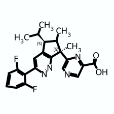 CC(C)[C@@H]1c2cc(-c3c(F)cccc3F)nnc2[C@](C)(c2cncc(C(=O)O)n2)C1C